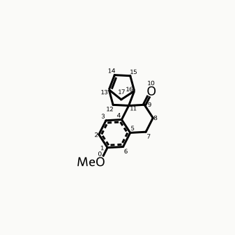 COc1ccc2c(c1)CCC(=O)C21CC2=CCC1C2